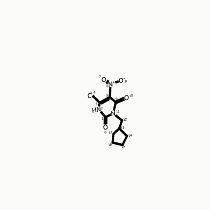 O=c1[nH]c(Cl)c([N+](=O)[O-])c(=O)n1CC1CCCC1